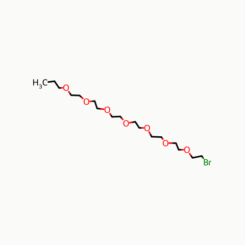 CCCOCCOCCOCCOCCOCCOCCOCCBr